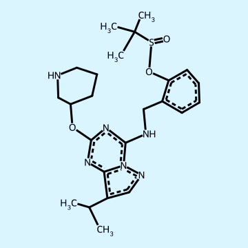 CC(C)c1cnn2c(NCc3ccccc3OS(=O)C(C)(C)C)nc(OC3CCCNC3)nc12